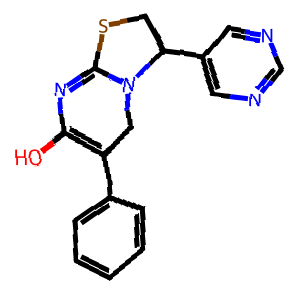 OC1=C(c2ccccc2)CN2C(=N1)SCC2c1cncnc1